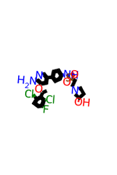 CC(Oc1cc(-c2ccc(NS(=O)(=O)CCN3CC[C@@H](O)C3)cc2)cnc1N)c1c(Cl)ccc(F)c1Cl